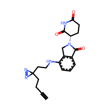 C#CCCC1(CCNc2cccc3c2CN([C@H]2CCC(=O)NC2=O)C3=O)N=N1